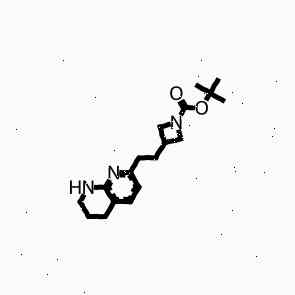 CC(C)(C)OC(=O)N1CC(CCc2ccc3c(n2)NCCC3)C1